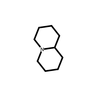 C1CCN2CCCC[C]2C1